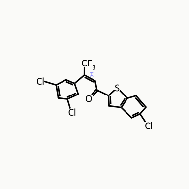 O=C(/C=C(\c1cc(Cl)cc(Cl)c1)C(F)(F)F)c1cc2cc(Cl)ccc2s1